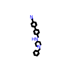 N#Cc1ccc(-c2ccc(CNC3CCN(Cc4ccccc4)CC3)cc2)cc1